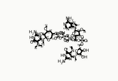 C=Nc1c(N(C)[C@@H]2O[C@H](COP(=O)(O)O[C@H]3C(COP(=O)(O)OP(=O)(O)OP(=O)(O)OC4CO[C@@H](N(I)c5nc(N)[nH]c(=O)c5N(C)C)C(O)C(OC)C4)O[C@@H](n4cnc5c(N)ncnc54)C3OC)C(O)C2O)nc(N)[nH]c1=O